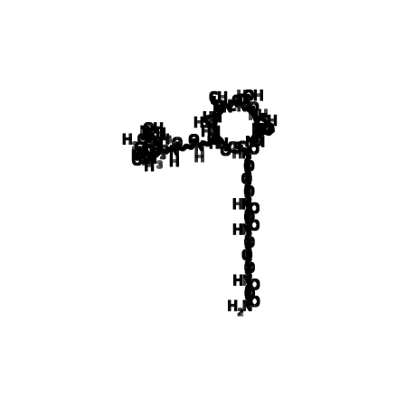 CCCC[C@@H]1NC(=O)[C@H](CS)NC(=O)[C@H](CCCCNC(=O)CCCC(=O)NCCC(CCNC(C)(C)/C(C)=N\O)CCNC(C)(C)/C(C)=N\O)NC(=O)CSC[C@@H](C(=O)NCCOCCOCCOCCNC(=O)COCC(=O)NCCOCCOCCOCCNC(=O)COCC(N)=O)NC(=O)[C@H](Cc2ccccc2)NC(=O)[C@H](CS)NC(=O)[C@H](CC(=O)O)NC(=O)CNC1=O